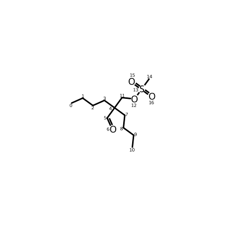 CCCCC(C=O)(CCCC)COS(C)(=O)=O